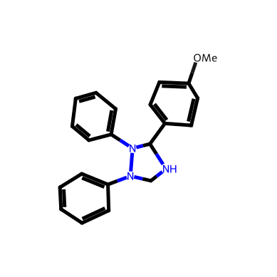 COc1ccc(C2NCN(c3ccccc3)N2c2ccccc2)cc1